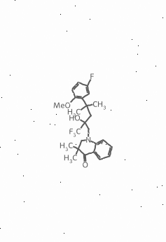 COc1ccc(F)cc1C(C)(C)CC(O)(CN1CC(C)(C)C(=O)c2ccccc21)C(F)(F)F